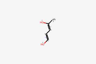 CCC/C(O)=C/C=C/O